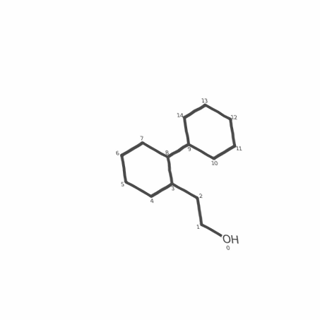 OCCC1CCCCC1C1CCCCC1